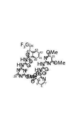 CCS(=O)(=O)c1cccnc1S(=O)(=O)NC(=O)Nc1nc(OC)cc(OC)n1.COc1nc(C)nc(NC(=O)NS(=O)(=O)c2ccccc2CCC(F)(F)F)n1